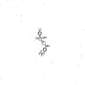 O=C1CC(N2CCC(Nc3ccc(OC(F)(F)F)cc3)CC2)C(S)N1c1ccc(Cl)cc1